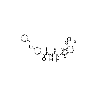 COc1cccc2sc(NC(=S)NNC(=O)c3ccc(OCc4ccccc4)cc3)nc12